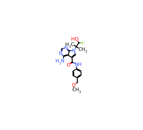 COCc1ccc(NC(=O)c2cn(C(C)(C)C(O)F)c3ncnc(N)c23)cc1